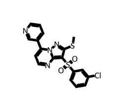 CSc1nn2c(-c3cccnc3)ccnc2c1S(=O)(=O)c1cccc(Cl)c1